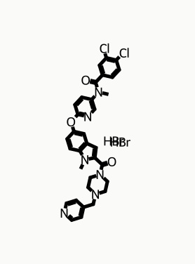 Br.Br.CN(C(=O)c1ccc(Cl)c(Cl)c1)c1ccc(Oc2ccc3c(c2)cc(C(=O)N2CCN(Cc4ccncc4)CC2)n3C)nc1